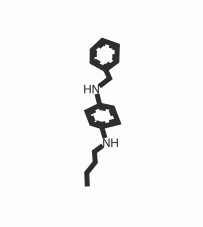 CCCCNc1ccc(NCc2ccccc2)cc1